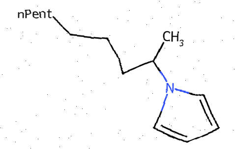 CCCCCCCCC(C)n1cccc1